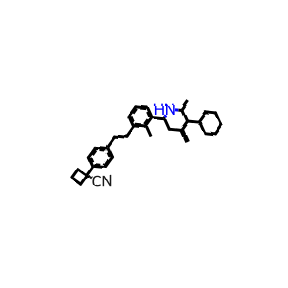 C=C1CC(c2cccc(CCc3ccc(C4(C#N)CCC4)cc3)c2C)NC(C)C1C1CCCCC1